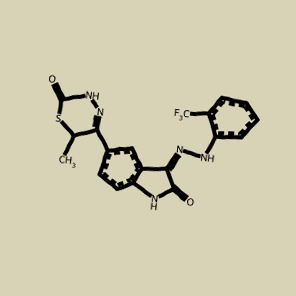 CC1SC(=O)NN=C1c1ccc2c(c1)C(=NNc1ccccc1C(F)(F)F)C(=O)N2